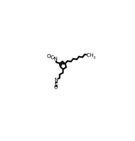 CCCCCCCCC12CC(CCCN=C=O)C(C1)C(CN=C=O)C2